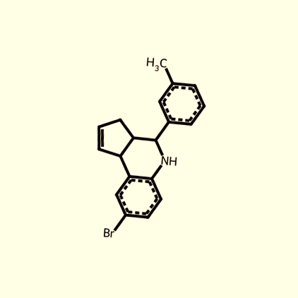 Cc1cccc(C2Nc3ccc(Br)cc3C3C=CCC32)c1